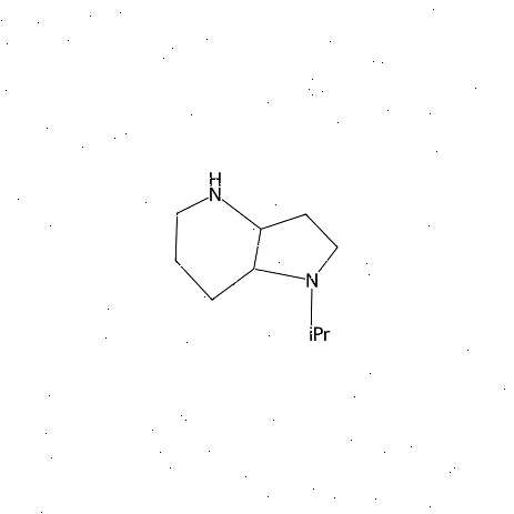 CC(C)N1CCC2NCCCC21